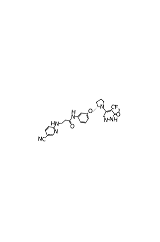 N#Cc1ccc(NCCC(=O)Nc2cccc(OC[C@@H]3CCCN3c3cn[nH]c(=O)c3C(F)(F)F)c2)nc1